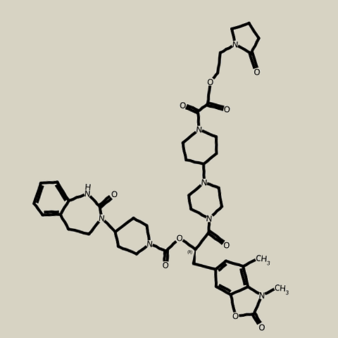 Cc1cc(C[C@@H](OC(=O)N2CCC(N3CCc4ccccc4NC3=O)CC2)C(=O)N2CCN(C3CCN(C(=O)C(=O)OCCN4CCCC4=O)CC3)CC2)cc2oc(=O)n(C)c12